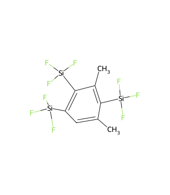 Cc1cc([Si](F)(F)F)c([Si](F)(F)F)c(C)c1[Si](F)(F)F